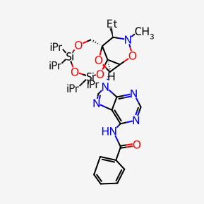 CC[C@H]1N(C)OC2[C@H](n3cnc4c(NC(=O)c5ccccc5)ncnc43)O[C@@]13CO[Si](C(C)C)(C(C)C)O[Si](C(C)C)(C(C)C)O[C@H]23